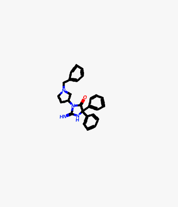 N=C1NC(c2ccccc2)(c2ccccc2)C(=O)N1C1CCN(Cc2ccccc2)C1